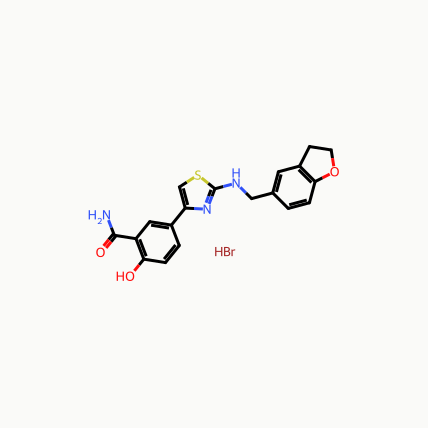 Br.NC(=O)c1cc(-c2csc(NCc3ccc4c(c3)CCO4)n2)ccc1O